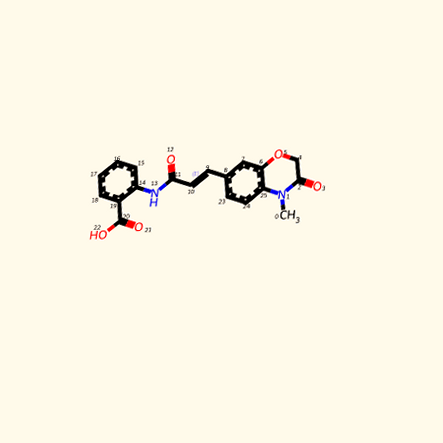 CN1C(=O)COc2cc(/C=C/C(=O)Nc3ccccc3C(=O)O)ccc21